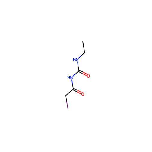 CCNC(=O)NC(=O)CI